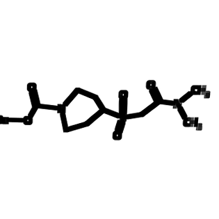 CN(C)C(=O)CS(=O)(=O)C1CCN(C(=O)OC(C)(C)C)CC1